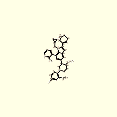 CCc1ncccc1-c1cc(C2CN(c3ncc(F)cc3OC)CCN2C=O)cc2cc(C3=CCCNC3)n(CC3CC3)c12